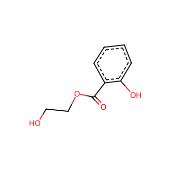 O=C(OCCO)c1cc[c]cc1O